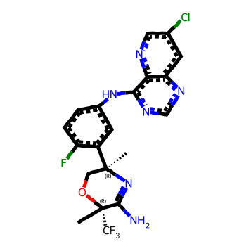 C[C@@]1(c2cc(Nc3ncnc4cc(Cl)cnc34)ccc2F)CO[C@@](C)(C(F)(F)F)C(N)=N1